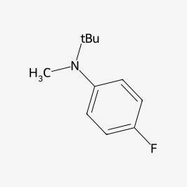 CN(c1ccc(F)cc1)C(C)(C)C